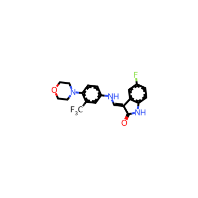 O=C1Nc2ccc(F)cc2/C1=C\Nc1ccc(N2CCOCC2)c(C(F)(F)F)c1